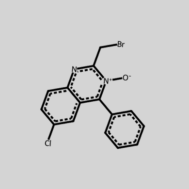 [O-][n+]1c(CBr)nc2ccc(Cl)cc2c1-c1ccccc1